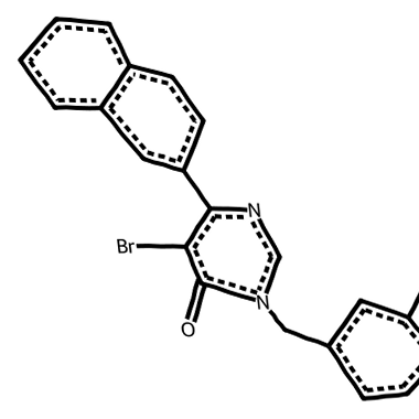 O=c1c(Br)c(-c2ccc3ccccc3c2)ncn1Cc1cccc(F)c1